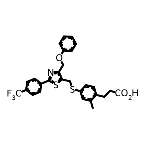 Cc1cc(SCc2sc(-c3ccc(C(F)(F)F)cc3)nc2COc2ccccc2)ccc1CCC(=O)O